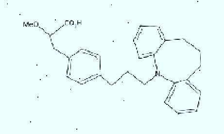 COC(Cc1ccc(CCCN2c3ccccc3CCCc3ccccc32)cc1)C(=O)O